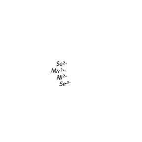 [Mn+2].[Ni+2].[Se-2].[Se-2]